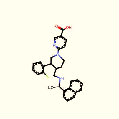 C[C@@H](NCC1CCN(c2ccc(C(=O)O)cn2)CC1c1ccccc1F)c1cccc2ccccc12